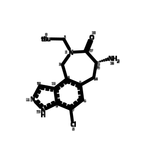 CC(C)(C)CN1Cc2c(cc(Cl)c3[nH]ncc23)C[C@@H](N)C1=O